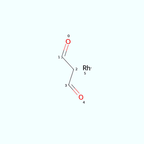 O=[C]CC=O.[Rh]